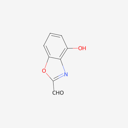 O=Cc1nc2c(O)cccc2o1